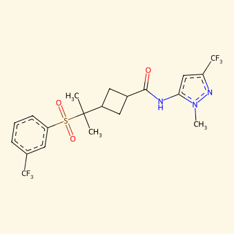 Cn1nc(C(F)(F)F)cc1NC(=O)C1CC(C(C)(C)S(=O)(=O)c2cccc(C(F)(F)F)c2)C1